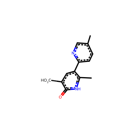 Cc1ccc(-c2cc(C(=O)O)c(=O)[nH]c2C)nc1